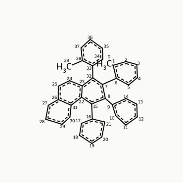 Cc1ccccc1-c1c(-c2ccccc2)c(-c2ccccc2)c2c(ccc3ccccc32)c1-c1ccccc1C